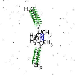 Cc1cc(CCC(F)(F)C(F)(F)C(F)(F)C(F)(F)C(F)(F)C(F)(F)C(F)(F)C(C)(F)F)cc(C)c1N1C=CN(c2c(C)cc(CCC(F)(F)C(F)(F)C(F)(F)C(F)(F)C(F)(F)C(F)(F)C(F)(F)C(F)(F)F)cc2C)C1C(C)C